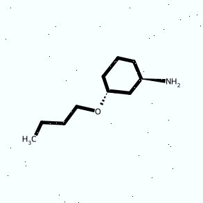 CCCCO[C@@H]1CCC[C@@H](N)C1